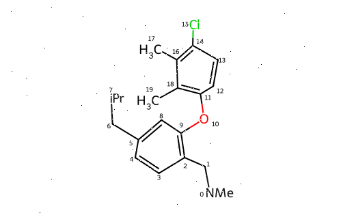 CNCc1ccc(CC(C)C)cc1Oc1ccc(Cl)c(C)c1C